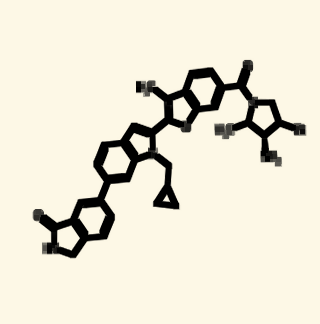 CCC1CN(C(=O)c2ccc3c(C)c(-c4cc5ccc(-c6ccc7c(c6)C(=O)NC7)cc5n4CC4CC4)oc3c2)C(C)[C@@H]1N